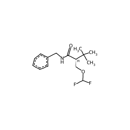 CC(C)(C)[C@H](COC(F)F)C(=O)NCc1ccccc1